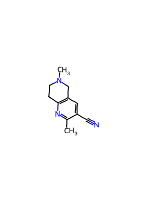 Cc1nc2c(cc1C#N)CN(C)CC2